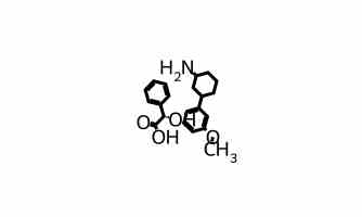 COc1cccc(C2CCCC(N)C2)c1.O=C(O)[C@@H](O)c1ccccc1